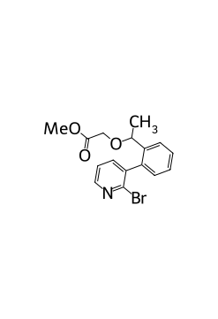 COC(=O)COC(C)c1ccccc1-c1cccnc1Br